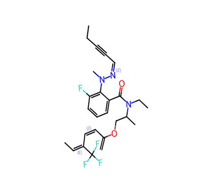 C=C(/C=C\C(=C/C)C(F)(F)F)OCC(C)N(CC)C(=O)c1cccc(F)c1N(C)/N=C\C#CCC